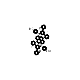 N#Cc1ccc(N(c2cc(-c3ccccc3F)cc(-c3ccccc3F)c2)c2ccc3ccc4c(N(c5ccc(C#N)cc5)c5cc(-c6ccccc6F)cc(-c6ccccc6F)c5)ccc5ccc2c3c54)cc1